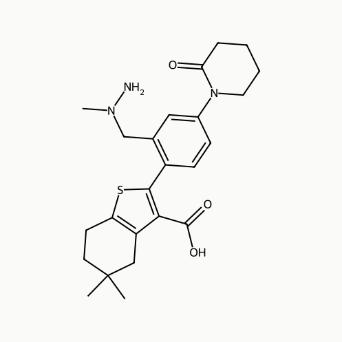 CN(N)Cc1cc(N2CCCCC2=O)ccc1-c1sc2c(c1C(=O)O)CC(C)(C)CC2